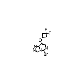 FC1(F)CC(Oc2cnc(Br)n3cnnc23)C1